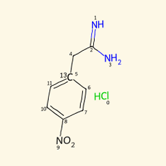 Cl.N=C(N)C[13c]1ccc([N+](=O)[O-])cc1